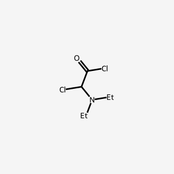 CCN(CC)C(Cl)C(=O)Cl